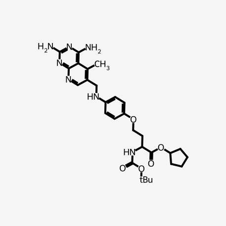 Cc1c(CNc2ccc(OCCC(NC(=O)OC(C)(C)C)C(=O)OC3CCCC3)cc2)cnc2nc(N)nc(N)c12